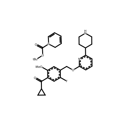 CC(C)(C)OC(=O)N1C=CC=CC1.COc1cc(COc2cccc(C3CCNCC3)n2)c(F)cc1C(=O)C1CC1